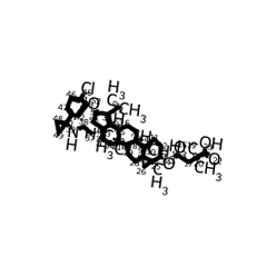 CC(C)C1=C2[C@H]3CC[C@@H]4[C@@]5(C)CC[C@H](OC(=O)CC(C)(C)C(=O)O)C6(C)C[C@]65CC[C@@]4(C)[C@]3(C)CC[C@@]2(CCNC2(c3ccc(Cl)cc3)CC2)CC1=O